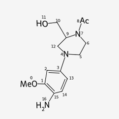 COc1cc(N2CCN(C(C)=O)C(CO)C2)ccc1N